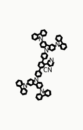 N#Cc1c(-c2ccc(-n3c4ccc(-n5c6ccccc6c6ccccc65)cc4c4cc(-n5c6ccccc6c6ccccc65)ccc43)cc2)ccc(-c2ccc(-n3c4ccc(-n5c6ccccc6c6ccccc65)cc4c4cc(-n5c6ccccc6c6ccccc65)ccc43)cc2)c1-c1cccnc1